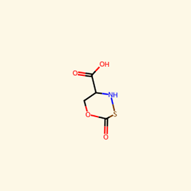 O=C1OCC(C(=O)O)NS1